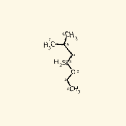 CCO[SiH2]CC(C)C